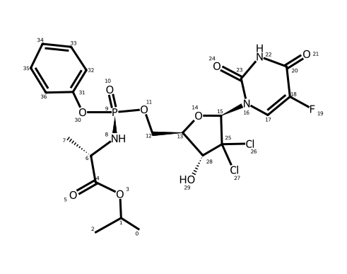 CC(C)OC(=O)[C@H](C)N[P@@](=O)(OC[C@H]1O[C@@H](n2cc(F)c(=O)[nH]c2=O)C(Cl)(Cl)[C@@H]1O)Oc1ccccc1